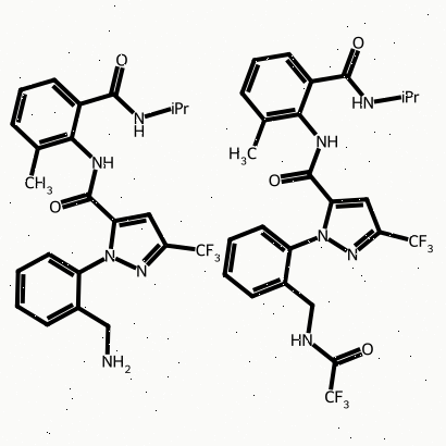 Cc1cccc(C(=O)NC(C)C)c1NC(=O)c1cc(C(F)(F)F)nn1-c1ccccc1CN.Cc1cccc(C(=O)NC(C)C)c1NC(=O)c1cc(C(F)(F)F)nn1-c1ccccc1CNC(=O)C(F)(F)F